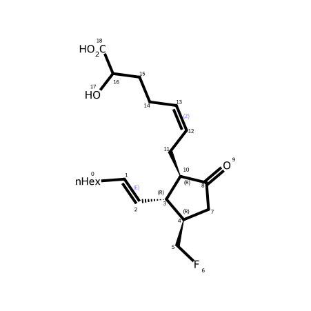 CCCCCC/C=C/[C@H]1[C@H](CF)CC(=O)[C@@H]1C/C=C\CCC(O)C(=O)O